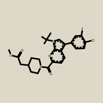 COC(=O)CC1CCN(C(=O)c2ccc3c(-c4ccc(Cl)c(F)c4)cn(C(C)(C)C)c3n2)CC1